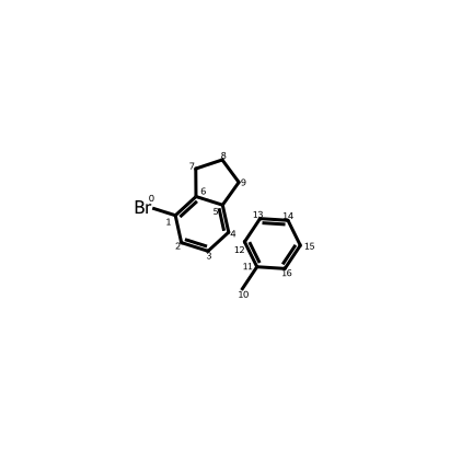 Brc1cccc2c1CCC2.Cc1ccccc1